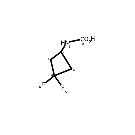 O=C(O)NC1CC(F)(F)C1